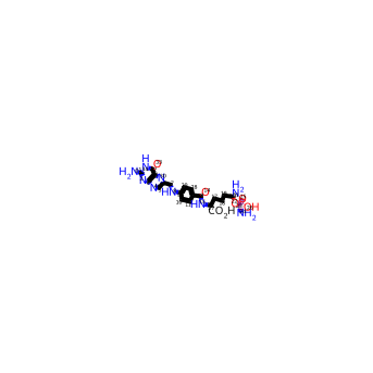 Nc1nc2ncc(CNc3ccc(C(=O)N[C@@H](CCCC(N)OP(N)(=O)O)C(=O)O)cc3)nc2c(=O)[nH]1